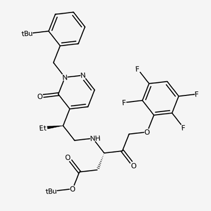 CC[C@H](CN[C@@H](CC(=O)OC(C)(C)C)C(=O)COc1c(F)c(F)cc(F)c1F)c1ccnn(Cc2ccccc2C(C)(C)C)c1=O